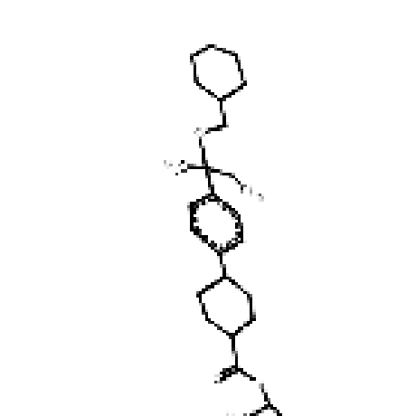 CCC(C)(OCC1CCCCC1)c1ccc(C2CCC(C(=O)SC(C)C)CC2)cc1